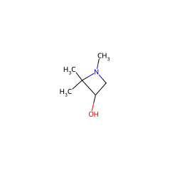 CN1CC(O)C1(C)C